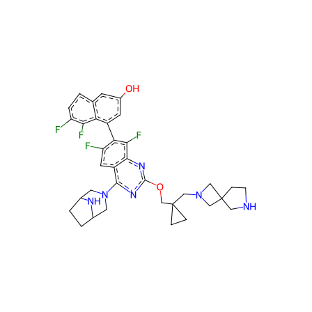 Oc1cc(-c2c(F)cc3c(N4CC5CCC(C4)N5)nc(OCC4(CN5CC6(CCNC6)C5)CC4)nc3c2F)c2c(F)c(F)ccc2c1